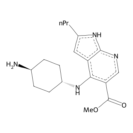 CCCc1cc2c(N[C@H]3CC[C@H](N)CC3)c(C(=O)OC)cnc2[nH]1